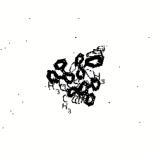 CC1=C(C)C(C)([Si](c2cc(C)c(-c3ccccc3)c(-c3ccccc3)c2)(c2cc(C)c(-c3ccccc3)c(-c3ccccc3)c2)c2cc(C)c(-c3ccccc3)c(-c3ccccc3)c2)[C]([Ti+3])=C1C.[Cl-].[Cl-].[Cl-]